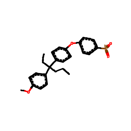 CCCC(CC)(c1ccc(OC)cc1)c1ccc(Oc2ccc([SH](=O)=O)cc2)cc1